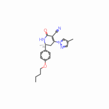 CCCCOc1ccc([C@]2(C)CC(n3cc(C)cn3)=C(C#N)C(=O)N2)cc1